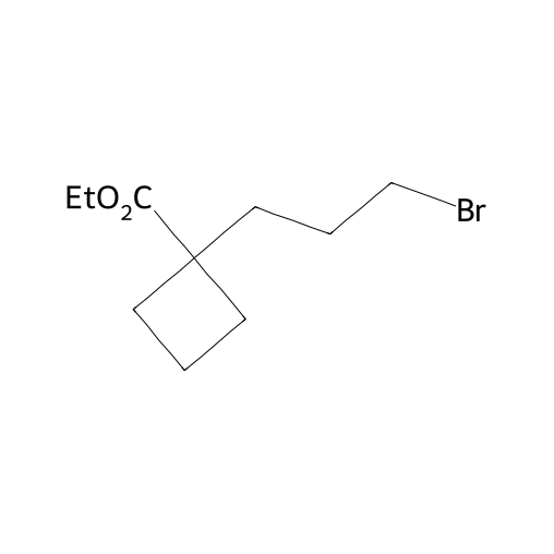 CCOC(=O)C1(CCCBr)CCC1